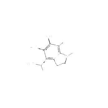 Cc1c(C)c(C(C)C)c2c(c1C)N(C)CC2